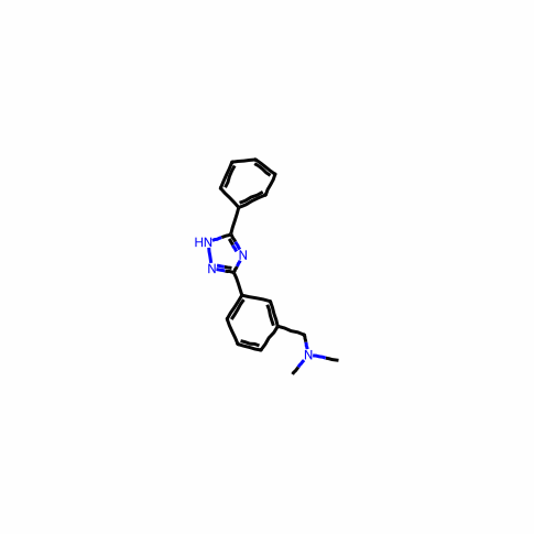 CN(C)Cc1cccc(-c2n[nH]c(-c3ccccc3)n2)c1